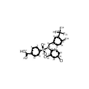 O=C(O)c1ccc(S(=O)(=O)N(Cc2ccc(F)c(C(F)(F)F)c2)c2ncc(Cl)cc2Cl)cc1